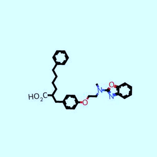 CN(CCOc1ccc(CC(CCCCc2ccccc2)C(=O)O)cc1)c1nc2ccccc2o1